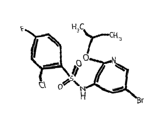 CC(C)Oc1ncc(Br)cc1NS(=O)(=O)c1ccc(F)cc1Cl